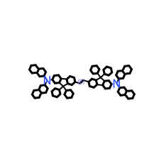 C(=C\c1ccc2c(c1)C(c1ccccc1)(c1ccccc1)c1cc(N(c3ccc4ccccc4c3)c3ccc4ccccc4c3)ccc1-2)/c1ccc2c(c1)C(c1ccccc1)(c1ccccc1)c1cc(N(c3ccc4ccccc4c3)c3ccc4ccccc4c3)ccc1-2